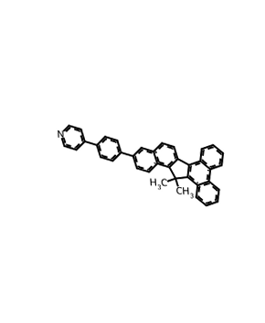 CC1(C)c2c(ccc3cc(-c4ccc(-c5ccncc5)cc4)ccc23)-c2c1c1ccccc1c1ccccc21